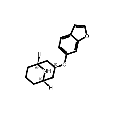 c1cc2ccc(O[C@@H]3C[C@H]4CCC[C@@H](C3)N4)cc2o1